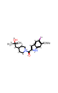 COc1cc2[nH]c(C(=O)N3CCC(CC(C)(C)O)CC3)cc2cc1I